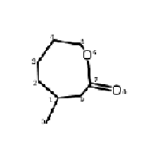 CC1CCCCOC(=O)C1